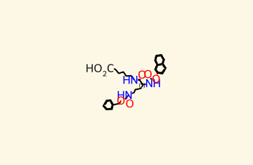 O=C(O)CCCCCNC(=O)[C@H](CCCNC(=O)OCc1ccccc1)NC(=O)Oc1ccc2ccccc2c1